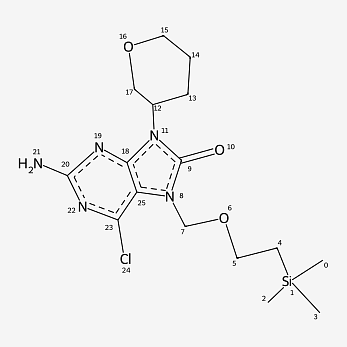 C[Si](C)(C)CCOCn1c(=O)n(C2CCCOC2)c2nc(N)nc(Cl)c21